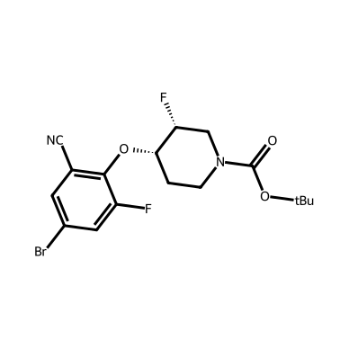 CC(C)(C)OC(=O)N1CC[C@H](Oc2c(F)cc(Br)cc2C#N)[C@H](F)C1